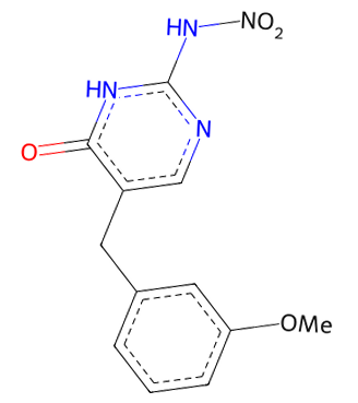 COc1cccc(Cc2cnc(N[N+](=O)[O-])[nH]c2=O)c1